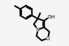 Cc1ccc(C2(C)CN3CCOCC3=C2O)cc1